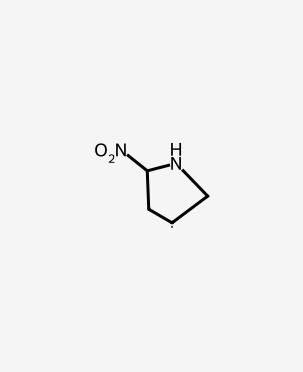 O=[N+]([O-])C1C[CH]CN1